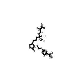 CC(O)(C/C=C/C1CCC(=O)[C@@H]1CCSc1nc(C(=O)O)cs1)CCC(F)=C(F)F